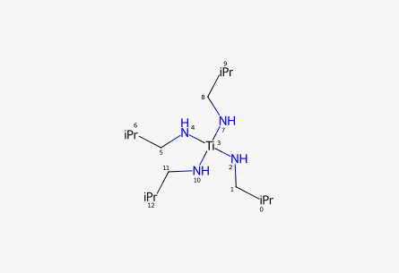 CC(C)C[NH][Ti]([NH]CC(C)C)([NH]CC(C)C)[NH]CC(C)C